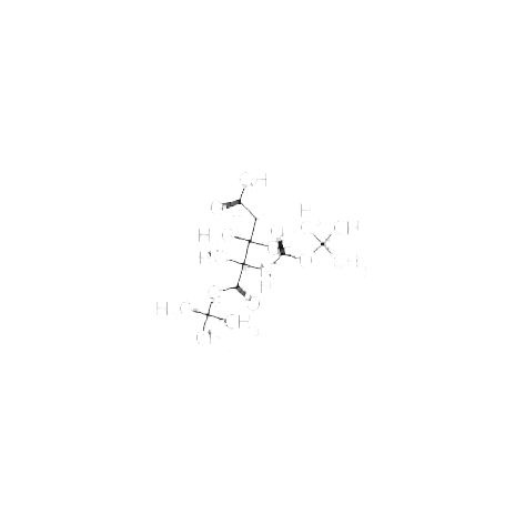 CC(C)(C)OC(=O)NC(O)(C(=O)OC(C)(C)C)C(C)(C)CC(=O)O